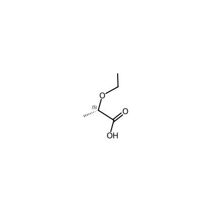 CCO[C@@H](C)C(=O)O